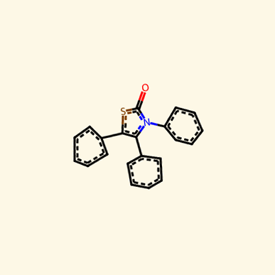 O=c1sc(-c2ccccc2)c(-c2ccccc2)n1-c1ccccc1